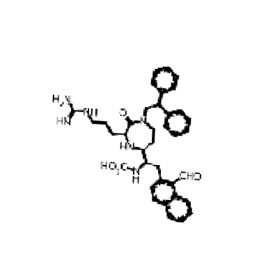 N=C(N)NCCC[C@@H]1N[C@H]([C@@H](Cc2ccc3ccccc3c2C=O)NC(=O)O)CCN(CC(c2ccccc2)c2ccccc2)C1=O